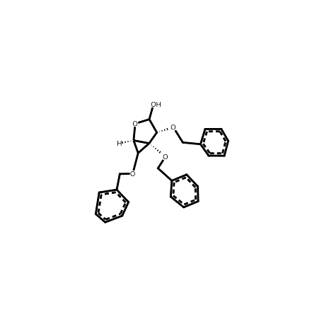 OC1O[C@@H]2C(OCc3ccccc3)[C@]2(OCc2ccccc2)[C@H]1OCc1ccccc1